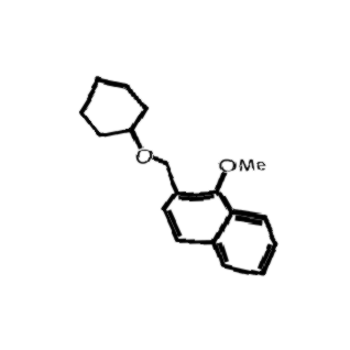 COc1c(COC2CCCCC2)ccc2ccccc12